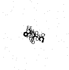 C#C/C=C(/OC)c1nc(-c2c(CS(C)(=O)=O)[nH]c3c(-c4ccccc4)c(C(F)(F)F)nn3c2=O)oc1C